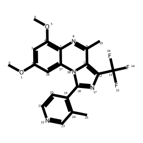 COc1cc(OC)c2nc(C)c3c(C(F)(F)F)nc(-c4ccncc4C)n3c2c1